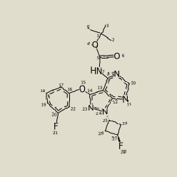 CC(C)(C)OC(=O)Nc1ncnc2c1c(Oc1cccc(F)c1)nn2[C@H]1C[C@H](F)C1